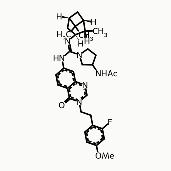 COc1ccc(CCn2cnc3cc(N/C(=N/[C@H]4C[C@@H]5C[C@H]([C@@H]4C)C5(C)C)N4CCC(NC(C)=O)C4)ccc3c2=O)c(F)c1